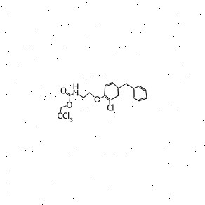 O=C(NCCOc1ccc(Cc2ccccc2)cc1Cl)OCC(Cl)(Cl)Cl